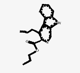 C=CCc1c(C(=O)OCCC)ncc2[nH]c3ccccc3c12